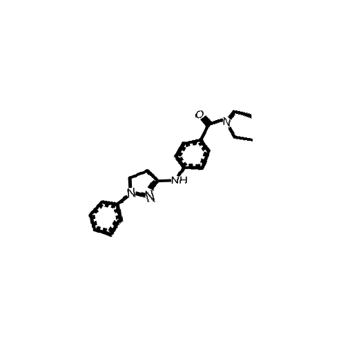 CCN(CC)C(=O)c1ccc(NC2=NN(c3ccccc3)CC2)cc1